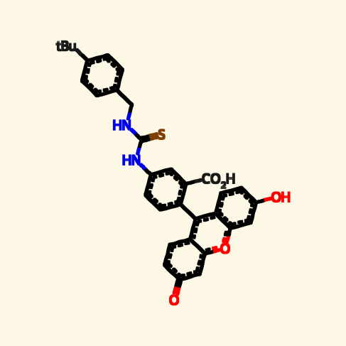 CC(C)(C)c1ccc(CNC(=S)Nc2ccc(-c3c4ccc(=O)cc-4oc4cc(O)ccc34)c(C(=O)O)c2)cc1